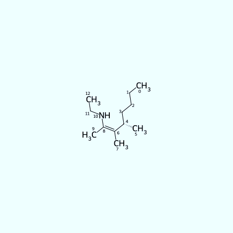 CCCC[C@H](C)/C(C)=C(/C)NCC